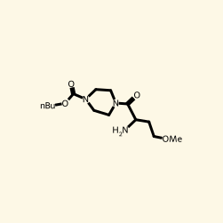 CCCCOC(=O)N1CCN(C(=O)C(N)CCOC)CC1